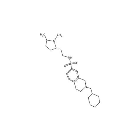 CC1CC[C@@H](CCNS(=O)(=O)c2ccc3c(c2)CN(CC2CCCCC2)CC3)N1C